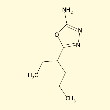 CCCC(CC)c1nnc(N)o1